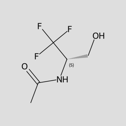 CC(=O)N[C@@H](CO)C(F)(F)F